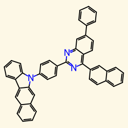 c1ccc(-c2ccc3c(-c4ccc5ccccc5c4)nc(-c4ccc(-n5c6ccccc6c6cc7ccccc7cc65)cc4)nc3c2)cc1